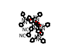 N#Cc1cccc(-c2cc(-n3c4cc(-c5nc(-c6ccccc6)nc(-c6ccccc6)n5)ccc4c4ccc(-c5nc(-c6ccccc6)nc(-c6ccccc6)n5)cc43)c(-n3c4cc(-c5nc(-c6ccccc6)nc(-c6ccccc6)n5)ccc4c4ccc(-c5nc(-c6ccccc6)nc(-c6ccccc6)n5)cc43)cc2C#N)c1